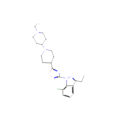 CCc1nn(-c2noc(C3CCN(C4CCN(CC)CC4)CC3)n2)c2c(F)cccc12